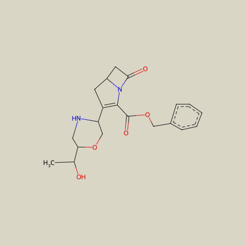 CC(O)C1CNC(C2=C(C(=O)OCc3ccccc3)N3C(=O)CC3C2)CO1